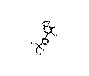 CC(C)c1c(-c2cnn(C(C)(C)CO)c2)[nH]c2ncnn2c1=O